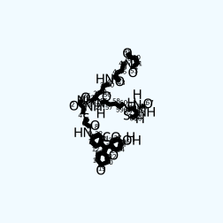 NC(=O)C(CSCC(=O)Nc1ccc(-c2c3ccc(=O)cc-3oc3cc(O)ccc23)c(C(=O)O)c1)NC(=O)C(CCCCNC(=O)CCCN1C(=O)C=CC1=O)NC(=O)CCCC[C@@H]1SC[C@@H]2NC(=O)N[C@@H]21